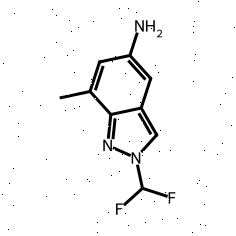 Cc1cc(N)cc2cn(C(F)F)nc12